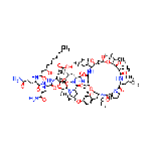 CCCCCCC[C@@H](O)CC(=O)N[C@@H](CCC(N)=O)C(=O)N[C@@H](CCC(N)=O)C(=O)N[C@@H](CCC(=O)O)C(=O)O[C@@H](C)C(=O)N1CCC[C@H]1C(=O)N(C)[C@H](CC(C)C)C(=O)N[C@@H]1C(=O)N[C@@H]([C@@H](C)CC)[C@@H](O)CC(=O)O[C@@H](C(C)C)C(=O)[C@H](C)C(=O)N[C@@H](CC(C)C)C(=O)N2CCC[C@H]2C(=O)N(C)[C@@H](Cc2ccc(OC)cc2)C(=O)O[C@H]1C